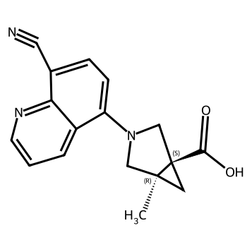 C[C@]12CN(c3ccc(C#N)c4ncccc34)C[C@]1(C(=O)O)C2